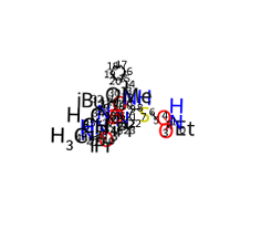 CCNC(=O)OCCSCC(C(=O)NCCc1ccccc1)C1CCCN1C(=O)CC(OC)C(C(C)CC)N(C)C(=O)C(NC(=O)C(C(C)C)N(C)C)C(C)C